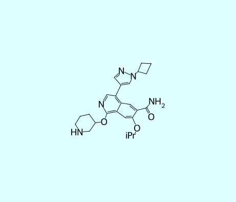 CC(C)Oc1cc2c(OC3CCCNC3)ncc(-c3cnn(C4CCC4)c3)c2cc1C(N)=O